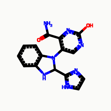 NC(=O)c1nc(O)ncc1N1c2ccccc2NC1c1ncc[nH]1